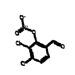 O=Cc1ccc(Cl)c(Cl)c1O[N+](=O)[O-]